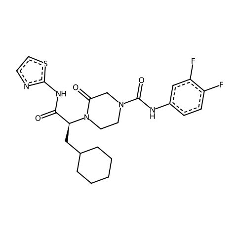 O=C(Nc1nccs1)[C@H](CC1CCCCC1)N1CCN(C(=O)Nc2ccc(F)c(F)c2)CC1=O